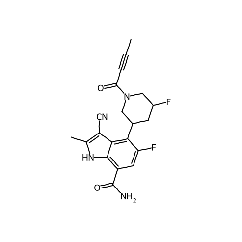 CC#CC(=O)N1CC(F)CC(c2c(F)cc(C(N)=O)c3[nH]c(C)c(C#N)c23)C1